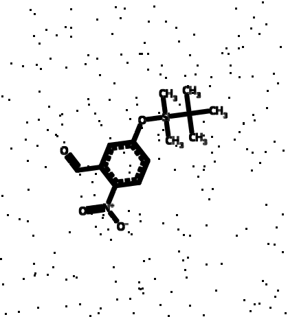 CC(C)(C)[Si](C)(C)Oc1ccc([N+](=O)[O-])c(C=O)c1